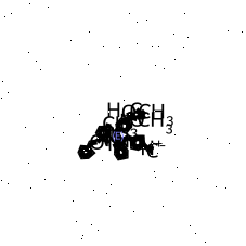 [C-]#[N+]c1ccc(Cn2/c(=N\C3CCN(C(=O)OC(C)(C)C)CC3)n(Cc3nc(C)ccc3OCc3ccccc3)c3ccccc32)cc1